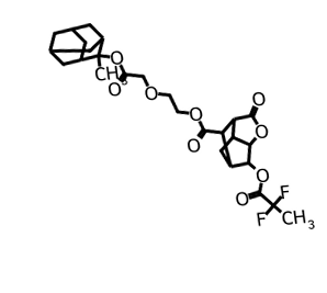 CC(F)(F)C(=O)OC1C2CC3C1OC(=O)C3C2C(=O)OCCOCC(=O)OC1(C)C2CC3CC(C2)CC1C3